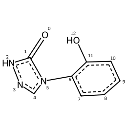 O=c1[nH]ncn1-c1ccccc1O